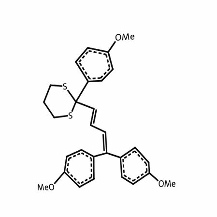 COc1ccc(C(=C/C=C/C2(c3ccc(OC)cc3)SCCCS2)c2ccc(OC)cc2)cc1